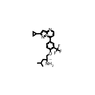 CC(C)C[C@](C)(N)COc1ccc(-c2ccnc3cc(C4CC4)nn23)cc1C(F)(F)F